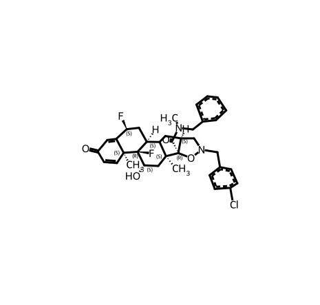 CN(Cc1ccccc1)C(=O)[C@@]12ON(Cc3ccc(Cl)cc3)C[C@@H]1CC1[C@@H]3C[C@H](F)C4=CC(=O)C=C[C@]4(C)[C@@]3(F)[C@@H](O)C[C@@]12C